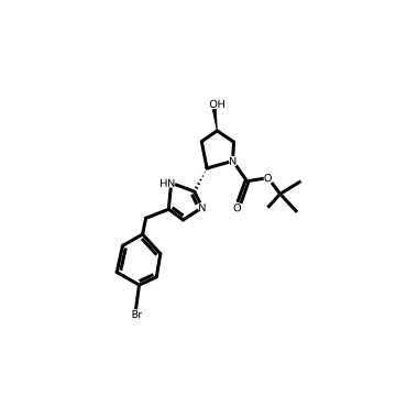 CC(C)(C)OC(=O)N1C[C@H](O)C[C@H]1c1ncc(Cc2ccc(Br)cc2)[nH]1